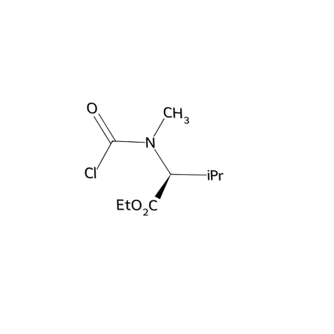 CCOC(=O)[C@H](C(C)C)N(C)C(=O)Cl